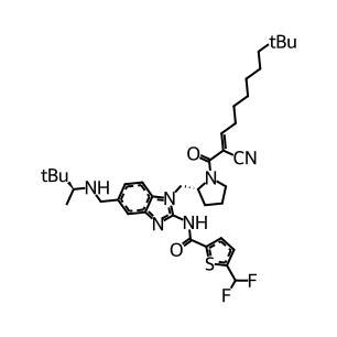 C[C@H](NCc1ccc2c(c1)nc(NC(=O)c1ccc(C(F)F)s1)n2C[C@H]1CCCN1C(=O)/C(C#N)=C/CCCCCCC(C)(C)C)C(C)(C)C